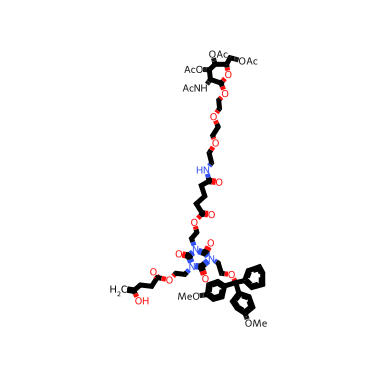 C=C(O)CCC(=O)OCCn1c(=O)n(CCOC(=O)CCCC(=O)NCCOCCOCCOC2OC(COC(C)=O)C(OC(C)=O)C(OC(C)=O)C2NC(C)=O)c(=O)n(CCOC(c2ccccc2)(c2ccc(OC)cc2)c2ccc(OC)cc2)c1=O